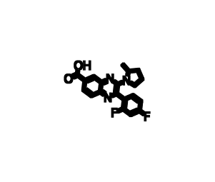 CC1CCCN1c1nc2cc(C(=O)O)ccc2nc1-c1ccc(F)cc1F